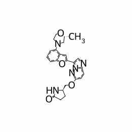 C[C@@H]1CN(c2cccc3oc(-c4cnc5ccc(OC[C@H]6CCC(=O)N6)nn45)cc23)CCO1